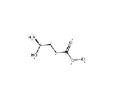 CCOC(=O)CC[C@H](N)O